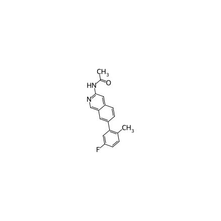 CC(=O)Nc1cc2ccc(-c3cc(F)ccc3C)cc2cn1